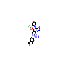 CN1Cc2cc(Nc3ncc4c(=O)n(-c5ccccc5Cl)c5nccn5c4n3)ccc2C1(C)C